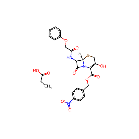 CCC(=O)O.O=C(COc1ccccc1)NC1C(=O)N2C(C(=O)OCc3ccc([N+](=O)[O-])cc3)=C(O)CS[C@@H]12